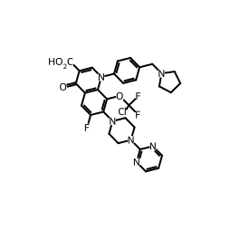 O=C(O)c1cn(-c2ccc(CN3CCCC3)cc2)c2c(OC(F)(F)Cl)c(N3CCN(c4ncccn4)CC3)c(F)cc2c1=O